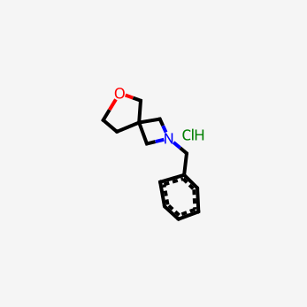 Cl.c1ccc(CN2CC3(CCOC3)C2)cc1